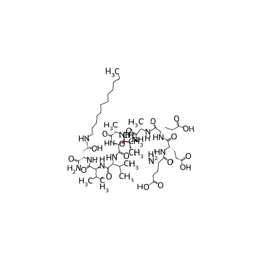 CCCCCCCCCCCCN[C@@H](O)C[C@H](NC(=O)[C@@H](NC(=O)[C@@H](NC(=O)[C@@H](NC(=O)[C@H](C)NC(=O)[C@H](C)NC(=O)[C@H](C)NC(=O)[C@H](CCC(=O)O)NC(=O)[C@H](CCC(=O)O)NC(=O)[C@@H](N)CCC(=O)O)C(C)C)C(C)C)C(C)C)C(N)=O